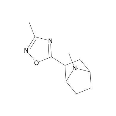 Cc1noc(C2CC3CCC2N3C)n1